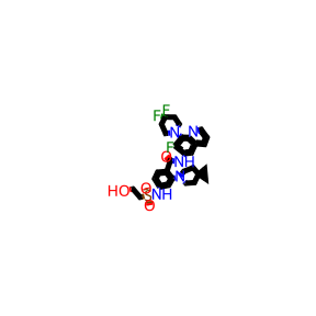 O=C(Nc1cc2cccnc2c(N2CCC(F)(F)CC2)c1F)c1ccc(NS(=O)(=O)CCO)cc1N1CCC2(CC1)CC2